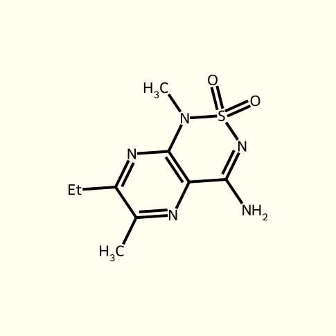 CCc1nc2c(nc1C)C(N)=NS(=O)(=O)N2C